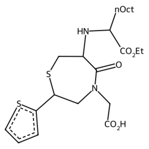 CCCCCCCCC(NC1CSC(c2cccs2)CN(CC(=O)O)C1=O)C(=O)OCC